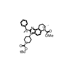 COC(=O)N1c2ccc3c(nc([C@@H](C)c4ccccc4)n3C3CCN(C(=O)OC(C)(C)C)CC3)c2CC[C@@H]1C